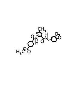 COC(=O)C1CCC(C(=O)Nc2sc(C)cc2C(=O)NCc2ccc3c(c2)OCO3)CC1